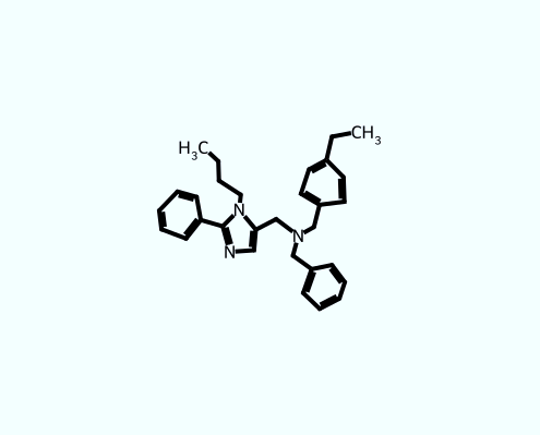 CCCCn1c(CN(Cc2ccccc2)Cc2ccc(CC)cc2)cnc1-c1ccccc1